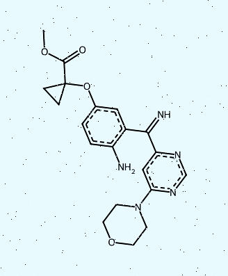 COC(=O)C1(Oc2ccc(N)c(C(=N)c3cc(N4CCOCC4)ncn3)c2)CC1